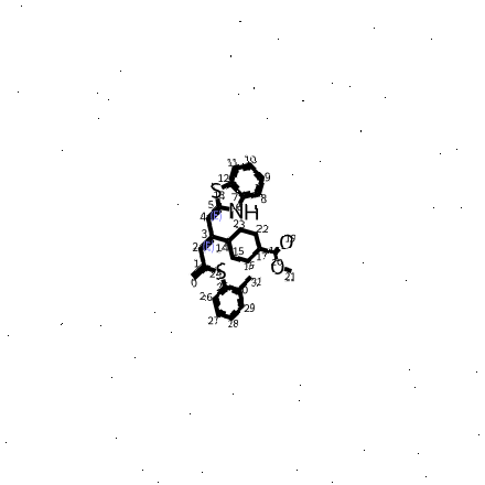 C=C(/C=C(/C=C1\Nc2ccccc2S1)C1CCC(C(=O)OC)CC1)Sc1ccccc1C